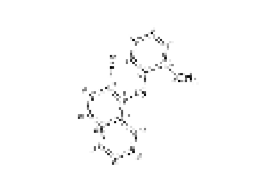 Cc1ccccc1Sc1c(F)ccc2ccccc12